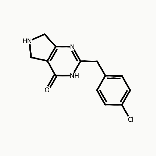 O=c1[nH]c(Cc2ccc(Cl)cc2)nc2c1CNC2